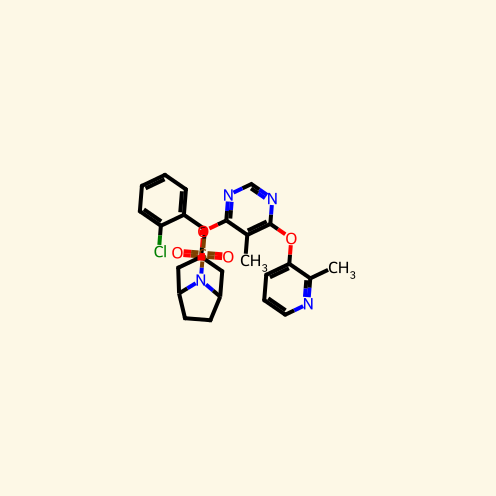 Cc1ncccc1Oc1ncnc(OC2CC3CCC(C2)N3S(=O)(=O)Cc2ccccc2Cl)c1C